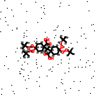 CC(C)(C)OOC1(OOC(C)(C)C)CCC(C(=O)O)(C(C)(C)C2(C(=O)O)CCC(OOC(C)(C)C)(OOC(C)(C)C)CC2)CC1